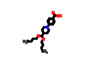 CCCCOC(OCCCC)C1CCN(c2ccc(C(=O)O)cc2)CC1